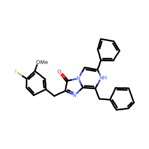 COc1cc(Cc2nc3c(Cc4ccccc4)[nH]c(-c4ccccc4)cn-3c2=O)ccc1F